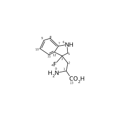 NC(CC1(F)CNc2ccccc21)C(=O)O